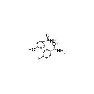 NC(=O)c1ccc(F)cc1.NC(=O)c1ccc(O)cc1